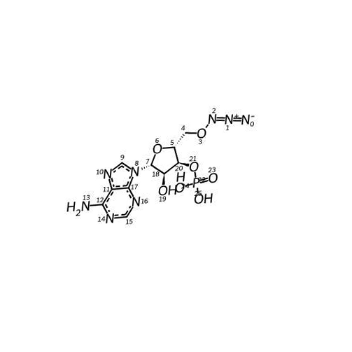 [N-]=[N+]=NOC[C@H]1O[C@@H](n2cnc3c(N)ncnc32)[C@H](O)[C@@H]1OP(=O)(O)O